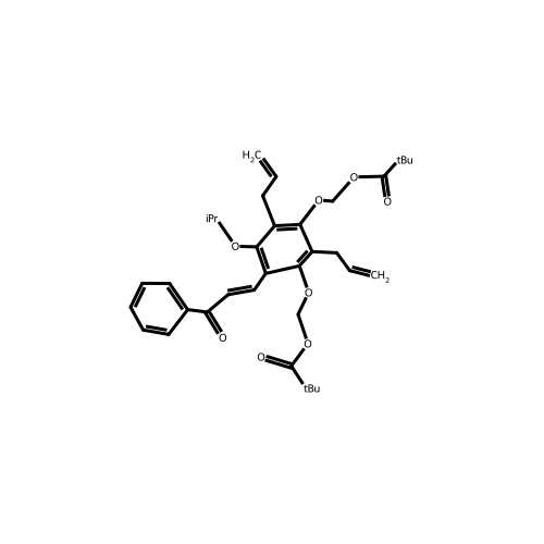 C=CCc1c(OCOC(=O)C(C)(C)C)c(C=CC(=O)c2ccccc2)c(OC(C)C)c(CC=C)c1OCOC(=O)C(C)(C)C